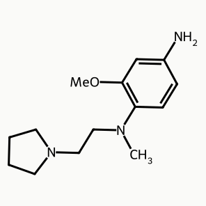 COc1cc(N)ccc1N(C)CCN1CCCC1